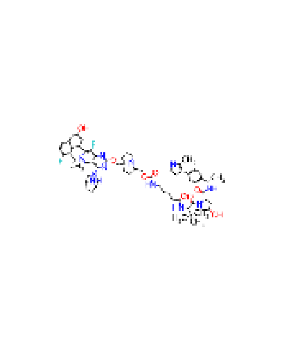 CCc1c(F)ccc2cc(O)cc(-c3ncc4c(N5CC6CCC(C5)N6)nc(OCC56CCCN5C(COC(=O)NCCCCC(=O)N[C@H](C(=O)N5C[C@H](O)C[C@H]5C(=O)N[C@@H](C)c5ccc(C7=C(C)N=CC7)cc5)C(C)(C)C)CC6)nc4c3F)c12